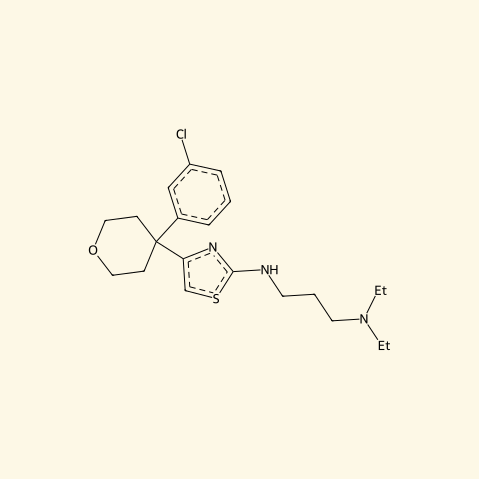 CCN(CC)CCCNc1nc(C2(c3cccc(Cl)c3)CCOCC2)cs1